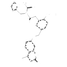 Cc1cc(=O)oc2cc(OCc3ccc(C(=O)O)c(CC(=O)N(Cc4ccco4)C(N)=O)c3)ccc12